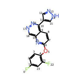 Fc1ccc(Oc2ccc3c(-c4cn[nH]c4)nncc3n2)c(F)c1